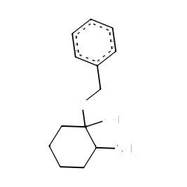 CC1(SCc2ccccc2)CCCC[C]1N